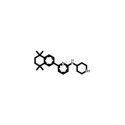 CC1(C)CCC(C)(C)c2cc(-c3cccc(NC4CCNCC4)n3)ccc21